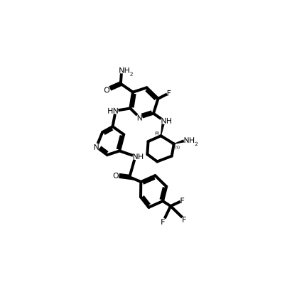 NC(=O)c1cc(F)c(N[C@@H]2CCCC[C@@H]2N)nc1Nc1cncc(NC(=O)c2ccc(C(F)(F)F)cc2)c1